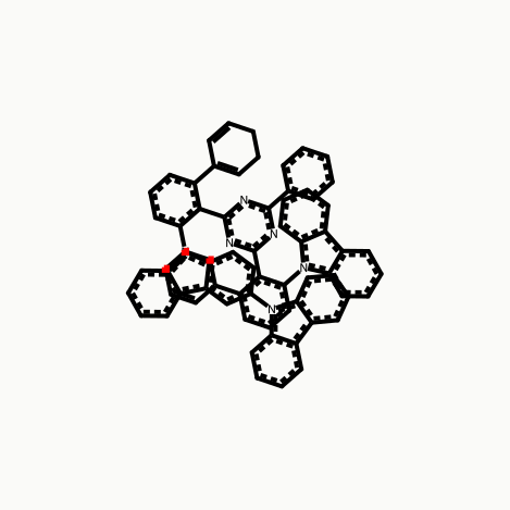 C1=CCC(c2cccc(-n3c4ccccc4c4ccccc43)c2-c2nc(-c3ccccc3)nc(-c3c(C4=CCCC=C4)cccc3-n3c4ccccc4c4cc(-n5c6ccccc6c6ccccc65)ccc43)n2)C=C1